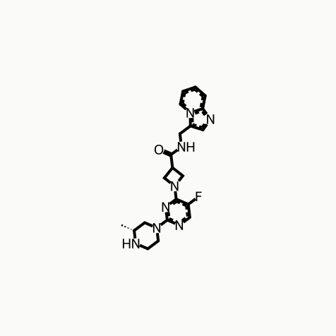 C[C@@H]1CN(c2ncc(F)c(N3CC(C(=O)NCc4cnc5ccccn45)C3)n2)CCN1